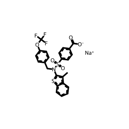 Cc1c(N(Cc2ccc(OC(F)(F)F)cc2)S(=O)(=O)c2ccc(C(=O)[O-])cc2)sc2ccccc12.[Na+]